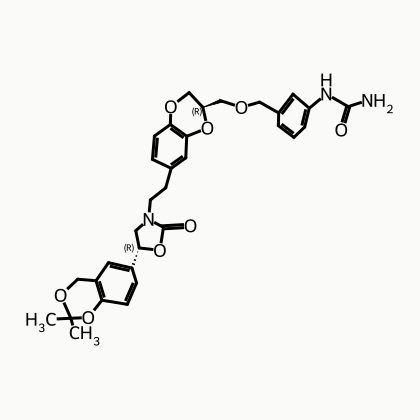 CC1(C)OCc2cc([C@@H]3CN(CCc4ccc5c(c4)O[C@H](COCc4cccc(NC(N)=O)c4)CO5)C(=O)O3)ccc2O1